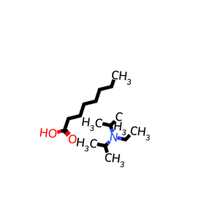 CCCCCCCC(=O)O.CCN(C(C)C)C(C)C